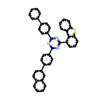 c1ccc(-c2ccc(-c3nc(-c4ccc(-c5ccc6ccccc6c5)cc4)nc(-c4cccc5sc6ccccc6c45)n3)cc2)cc1